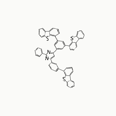 c1ccc(-c2nc(-c3cccc(-c4cccc5c4sc4ccccc45)c3)cc(-c3cc(-c4cccc5c4sc4ccccc45)cc(-c4cccc5c4sc4ccccc45)c3)n2)cc1